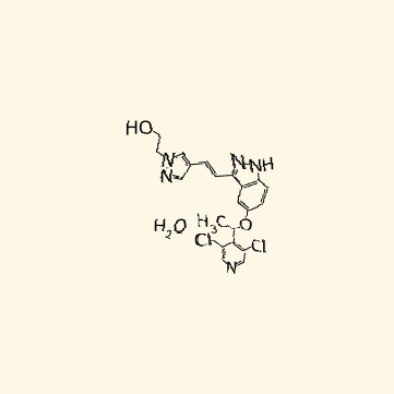 CC(Oc1ccc2[nH]nc(C=Cc3cnn(CCO)c3)c2c1)c1c(Cl)cncc1Cl.O